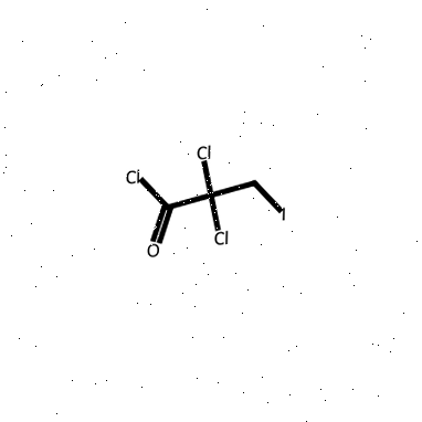 O=C(Cl)C(Cl)(Cl)CI